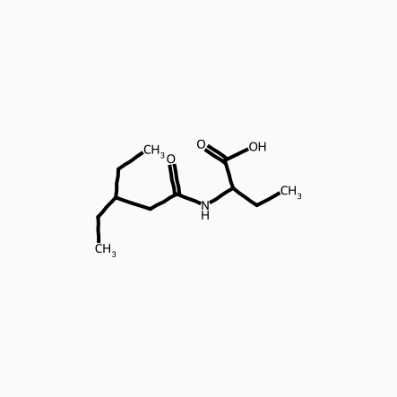 CCC(CC)CC(=O)NC(CC)C(=O)O